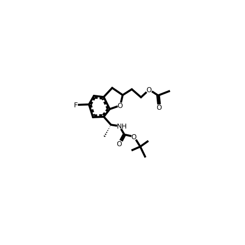 CC(=O)OCCC1Cc2cc(F)cc([C@@H](C)NC(=O)OC(C)(C)C)c2O1